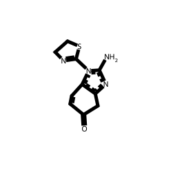 Nc1nc2c(n1C1=NCCS1)C=CC(=O)C2